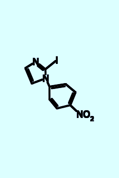 O=[N+]([O-])c1ccc(-n2ccnc2I)cc1